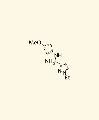 CCn1ccc(CNc2ccc(OC)cc2N)n1